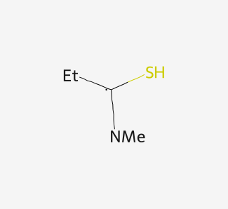 CC[C](S)NC